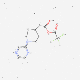 O=C(CC1CCN(c2cnccn2)CC1)OC(=O)C(F)(F)F